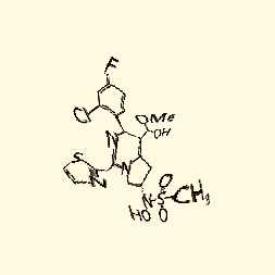 COC(O)C1=C2C[C@H](N(O)S(C)(=O)=O)CN2C(c2nccs2)=N[C@H]1c1ccc(F)cc1Cl